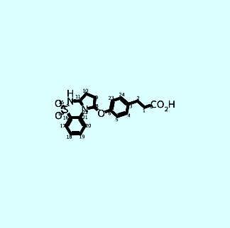 O=C(O)CCc1ccc(OC2CCC3NS(=O)(=O)c4ccccc4N32)cc1